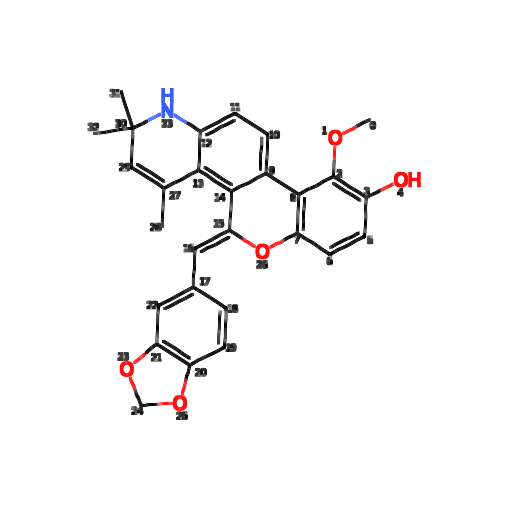 COc1c(O)ccc2c1-c1ccc3c(c1/C(=C/c1ccc4c(c1)OCO4)O2)C(C)=CC(C)(C)N3